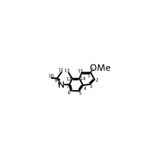 COc1ccc2ccc(N=C(C)C)c(C)c2c1